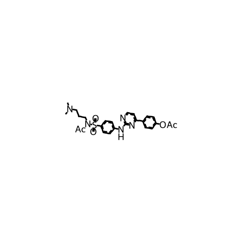 CC(=O)Oc1ccc(-c2ccnc(Nc3ccc(S(=O)(=O)N(CCCN(C)C)C(C)=O)cc3)n2)cc1